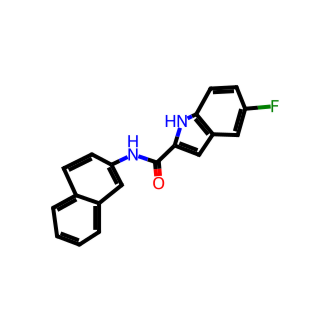 O=C(Nc1ccc2ccccc2c1)c1cc2cc(F)ccc2[nH]1